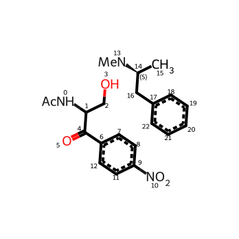 CC(=O)NC(CO)C(=O)c1ccc([N+](=O)[O-])cc1.CN[C@@H](C)Cc1ccccc1